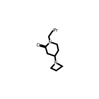 CC(C)CN1CCC(N2CCC2)CC1=O